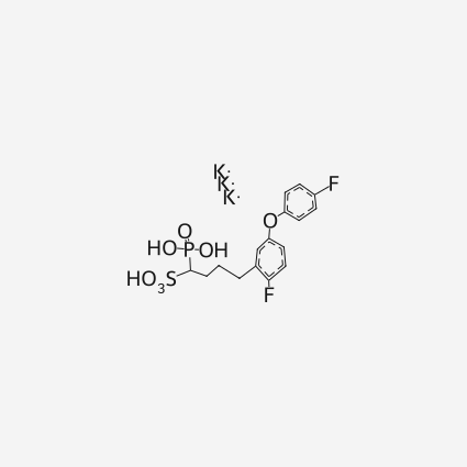 O=P(O)(O)C(CCCc1cc(Oc2ccc(F)cc2)ccc1F)S(=O)(=O)O.[K].[K].[K]